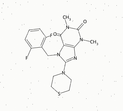 Cn1c(=O)c2c(nc(N3CCSCC3)n2Cc2c(F)cccc2F)n(C)c1=O